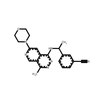 Cc1nnc(NC(C)c2cccc(C#N)c2)c2cc(N3CCOCC3)ncc12